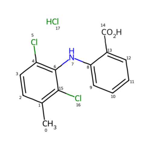 Cc1ccc(Cl)c(Nc2ccccc2C(=O)O)c1Cl.Cl